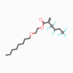 C=C(C(=O)OCCOCCCCCCCC)C(F)(F)C(F)CC(F)(F)F